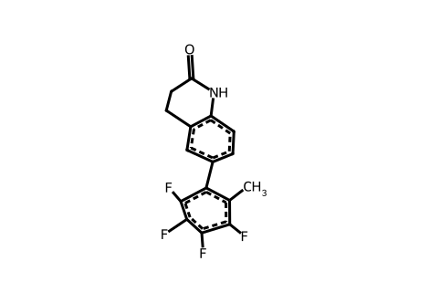 Cc1c(F)c(F)c(F)c(F)c1-c1ccc2c(c1)CCC(=O)N2